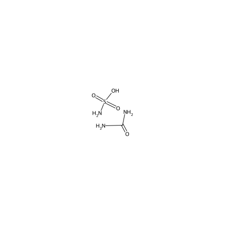 NC(N)=O.NS(=O)(=O)O